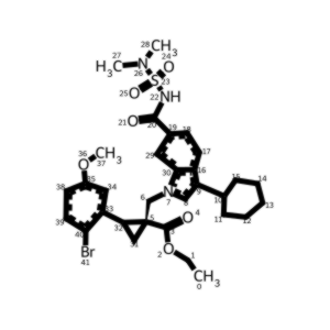 CCOC(=O)[C@]1(Cn2cc(C3CCCCC3)c3ccc(C(=O)NS(=O)(=O)N(C)C)cc32)CC1c1cc(OC)ccc1Br